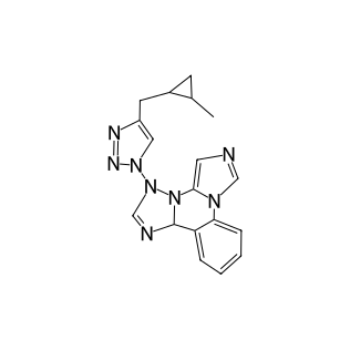 CC1CC1Cc1cn(N2C=NC3c4ccccc4-n4cncc4N32)nn1